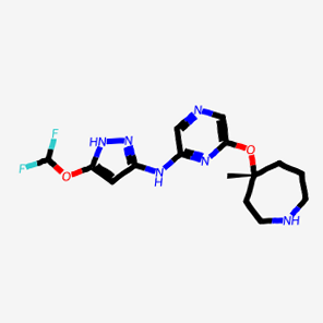 C[C@@]1(Oc2cncc(Nc3cc(OC(F)F)[nH]n3)n2)CCCNCC1